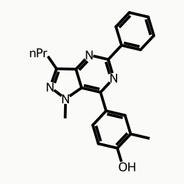 CCCc1nn(C)c2c(-c3ccc(O)c(C)c3)nc(-c3ccccc3)nc12